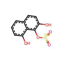 O=[SH](=O)Oc1c(O)ccc2cccc(O)c12